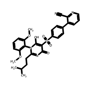 COc1cccc(OC)c1-n1c(CCC(C)C)nc(=O)c(S(=O)(=O)c2ccc(-c3cccnc3C#N)cc2)c1O